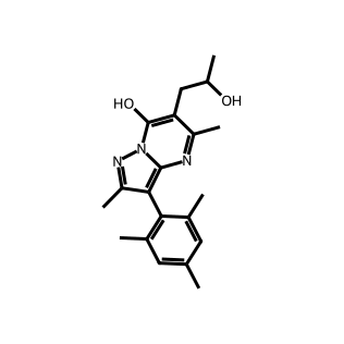 Cc1cc(C)c(-c2c(C)nn3c(O)c(CC(C)O)c(C)nc23)c(C)c1